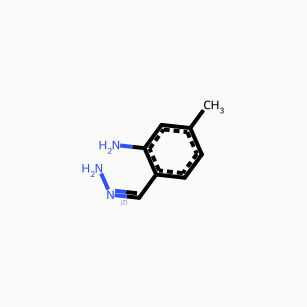 Cc1ccc(/C=N\N)c(N)c1